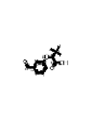 CC(C)(C)C(Oc1cccc(C=O)c1)C(=O)O